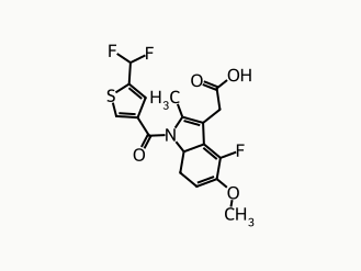 COC1=CCC2C(=C1F)C(CC(=O)O)=C(C)N2C(=O)c1csc(C(F)F)c1